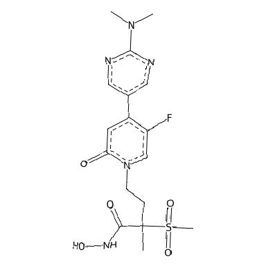 CN(C)c1ncc(-c2cc(=O)n(CCC(C)(C(=O)NO)S(C)(=O)=O)cc2F)cn1